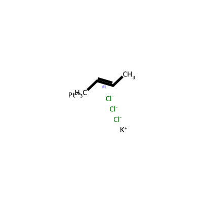 C/C=C/C.[Cl-].[Cl-].[Cl-].[K+].[Pt+2]